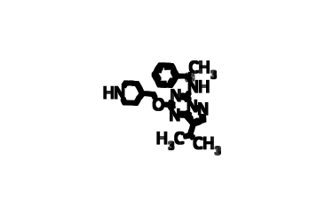 CC(C)c1cnn2c(N[C@@H](C)c3ccccc3)nc(OCC3CCNCC3)nc12